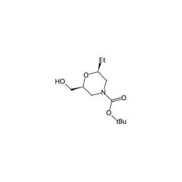 CC[C@H]1CN(C(=O)OC(C)(C)C)C[C@@H](CO)O1